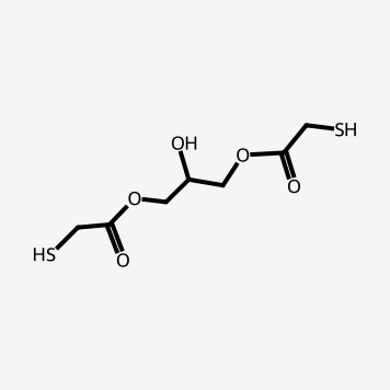 O=C(CS)OCC(O)COC(=O)CS